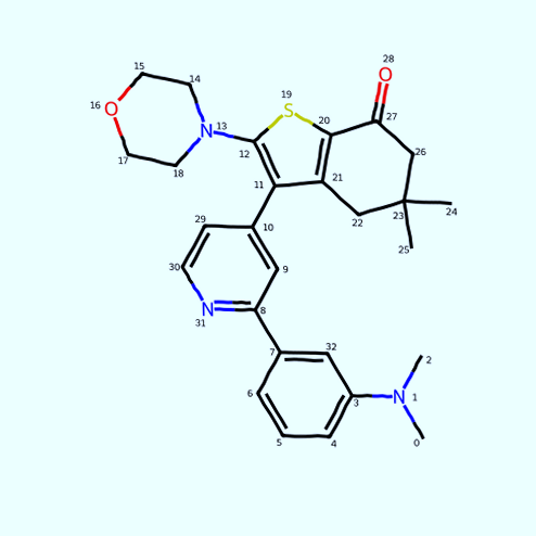 CN(C)c1cccc(-c2cc(-c3c(N4CCOCC4)sc4c3CC(C)(C)CC4=O)ccn2)c1